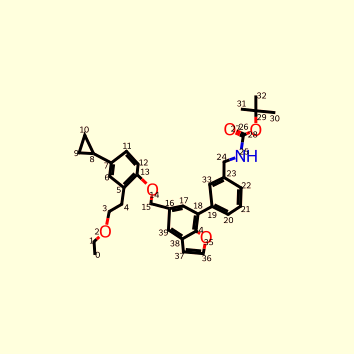 CCOCCc1cc(C2CC2)ccc1OCc1cc(-c2cccc(CNC(=O)OC(C)(C)C)c2)c2occc2c1